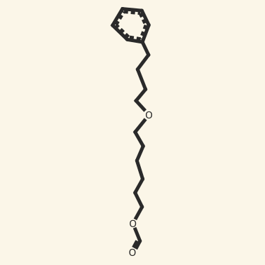 O=COCCCCCCOCCCCc1ccccc1